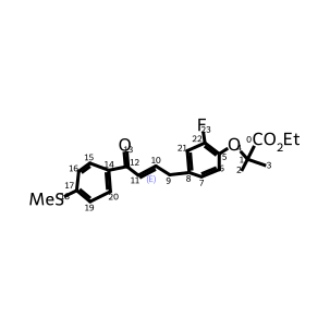 CCOC(=O)C(C)(C)Oc1ccc(C/C=C/C(=O)c2ccc(SC)cc2)cc1F